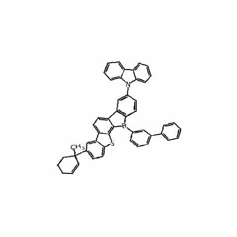 CC1(c2ccc3sc4c5c(ccc4c3c2)-c2cc(-n3c4ccccc4c4ccccc43)ccc2B5c2cccc(-c3ccccc3)c2)C=CCCC1